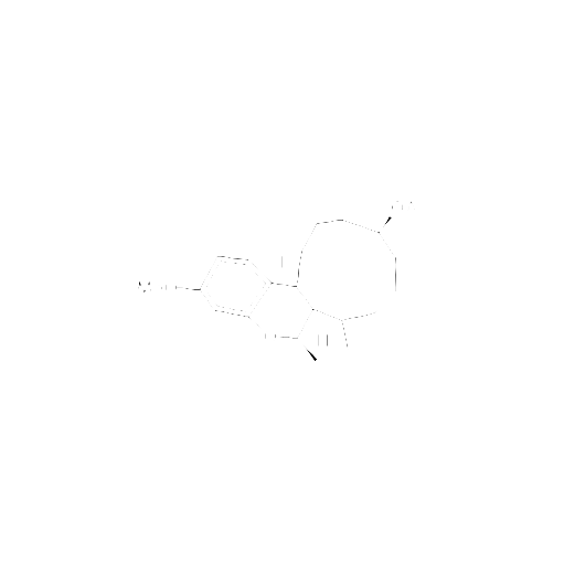 COc1ccc2c(c1)O[C@H](C)[C@@H]1C(C)CCC[C@H](OC(C)=O)CCC[C@H]21